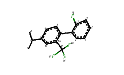 CC(C)c1ccc(-c2ccccc2F)c(C(F)(F)F)c1